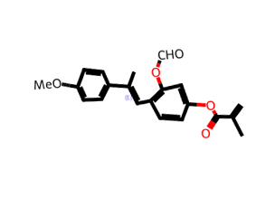 C=C(C)C(=O)Oc1ccc(/C=C(\C)c2ccc(OC)cc2)c(OC=O)c1